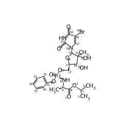 CC(C)OC(=O)[C@@H](C)N[P@@](=O)(OC[C@H]1OC(n2cc(Br)c(=O)[nH]c2=O)[C@](C)(O)[C@@H]1O)Oc1ccccc1